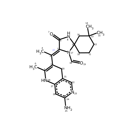 CC1=C(/C(C)=C2/C(=O)NC3(CCCC(C)(C)C3)N2C=O)Cc2cnc(N)cc2N1